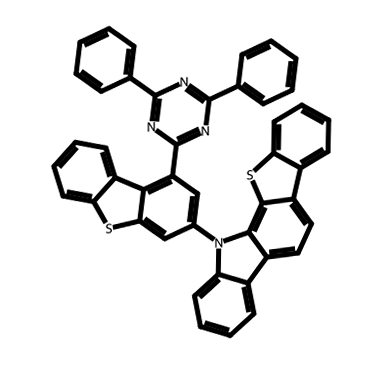 c1ccc(-c2nc(-c3ccccc3)nc(-c3cc(-n4c5ccccc5c5ccc6c7ccccc7sc6c54)cc4sc5ccccc5c34)n2)cc1